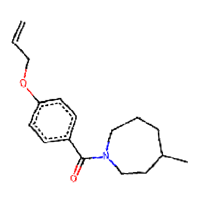 C=CCOc1ccc(C(=O)N2CCCC(C)CC2)cc1